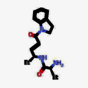 CC[C@@H](C=CC(=O)N1CCc2ccccc21)NC(=O)[C@@H](N)CC